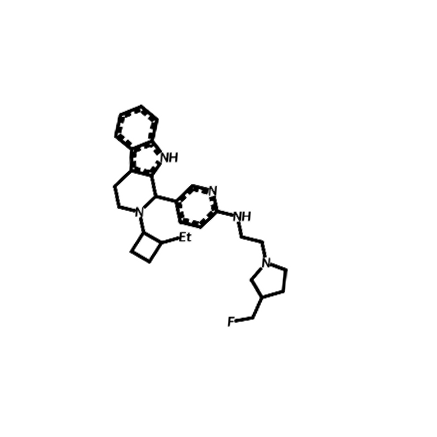 CCC1CCC1N1CCc2c([nH]c3ccccc23)C1c1ccc(NCCN2CCC(CF)C2)nc1